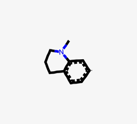 CN1CCCc2cc[c]cc21